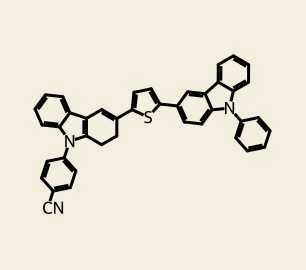 N#Cc1ccc(-n2c3c(c4ccccc42)C=C(c2ccc(-c4ccc5c(c4)c4ccccc4n5-c4ccccc4)s2)CC3)cc1